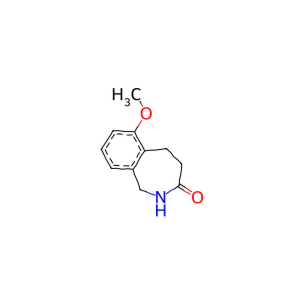 COc1cccc2c1CCC(=O)NC2